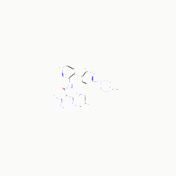 Cc1nc(N2CCN(C)CC2)ccc1-c1ccncc1NC(=O)C(C(N)N)C1NCC(F)CN1